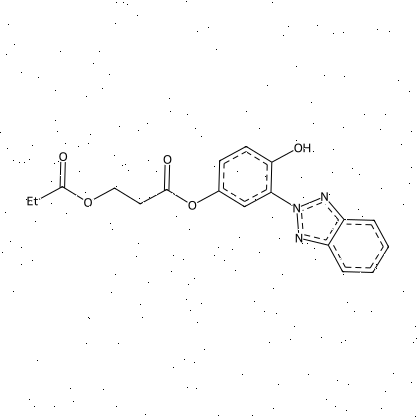 CCC(=O)OCCC(=O)Oc1ccc(O)c(-n2nc3ccccc3n2)c1